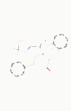 CCCC(C1=NC(C)(C)CO1)C1(O)CC(c2ccccc2)OC(=O)C1Sc1ccccc1C(C)C